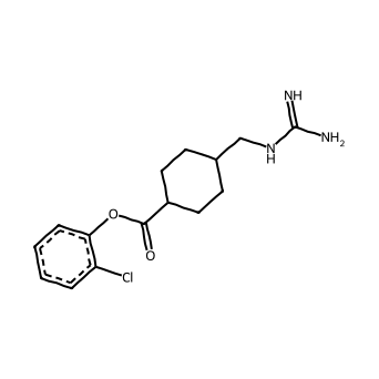 N=C(N)NCC1CCC(C(=O)Oc2ccccc2Cl)CC1